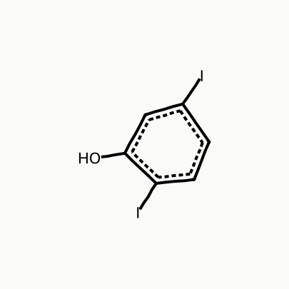 Oc1cc(I)ccc1I